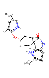 Cc1cc(C(F)(F)F)cnc1O[C@H]1CC[C@]2(CC1)C(=O)Nc1ccc(C(=O)O)nc12